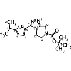 CC(C)c1ccc(-c2nnc3n2CCN(C(=O)OC(C)(C)C)C3)o1